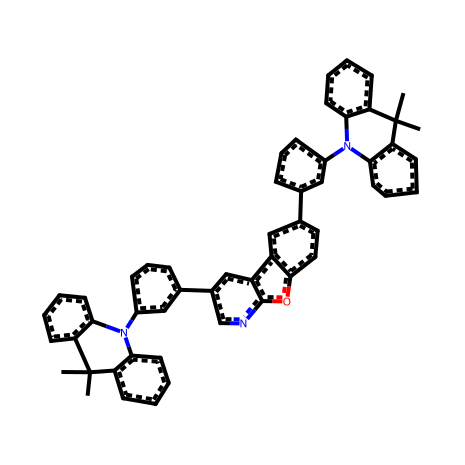 CC1(C)c2ccccc2N(c2cccc(-c3ccc4oc5ncc(-c6cccc(N7c8ccccc8C(C)(C)c8ccccc87)c6)cc5c4c3)c2)c2ccccc21